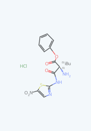 CC[C@H](C)[C@](N)(C(=O)Nc1ncc([N+](=O)[O-])s1)C(=O)Oc1ccccc1.Cl